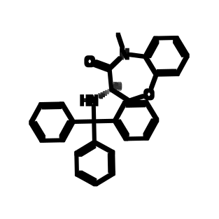 CN1C(=O)[C@@H](NC(c2ccccc2)(c2ccccc2)c2ccccc2)COc2ccccc21